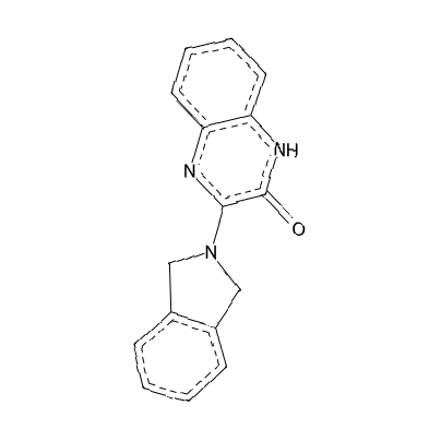 O=c1[nH]c2ccccc2nc1N1Cc2ccccc2C1